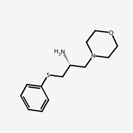 N[C@@H](CSc1ccccc1)CN1CCOCC1